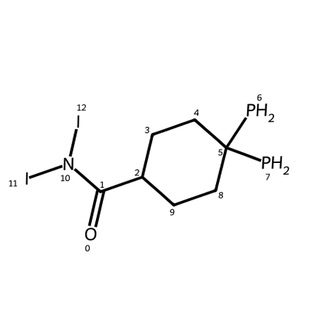 O=C(C1CCC(P)(P)CC1)N(I)I